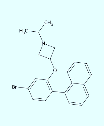 CC(C)N1CC(Oc2cc(Br)ccc2-c2[c]ccc3ccccc23)C1